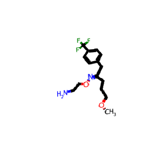 COCCCC(Cc1ccc(C(F)(F)F)cc1)=NOCCN